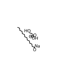 CCCCCCCCCCCCC[C](=O)[Na].O=S(=O)(O)CCO